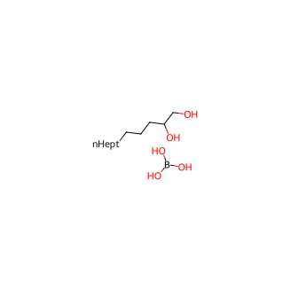 CCCCCCCCCCC(O)CO.OB(O)O